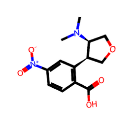 CN(C)[C@H]1COC[C@H]1c1cc([N+](=O)[O-])ccc1C(=O)O